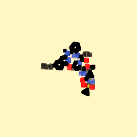 C=C[C@@H]1C[C@]1(NC(=O)[C@@H]1C[C@@H](Oc2nc(N(C)C)cc3cc(OC)ccc23)CN1C(=O)[C@H](Nc1ccccc1)C(C)(C)C)C(=O)NS(=O)(=O)C1CC1